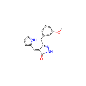 COc1cccc(CC2=NNC(=O)/C2=C/c2ccc[nH]2)c1